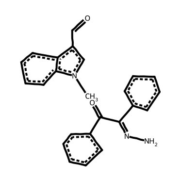 Cn1cc(C=O)c2ccccc21.NN=C(C(=O)c1ccccc1)c1ccccc1